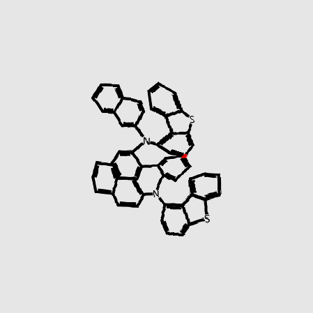 c1ccc(N(c2ccc3ccccc3c2)c2cccc3sc4ccccc4c23)c(-c2ccccc2N(c2ccc3ccccc3c2)c2cccc3sc4ccccc4c23)c1